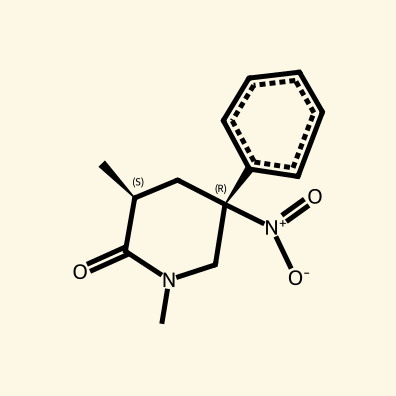 C[C@H]1C[C@](c2ccccc2)([N+](=O)[O-])CN(C)C1=O